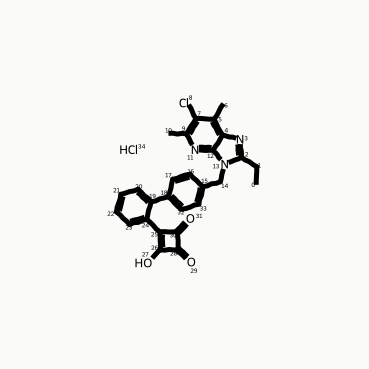 CCc1nc2c(C)c(Cl)c(C)nc2n1Cc1ccc(-c2ccccc2-c2c(O)c(=O)c2=O)cc1.Cl